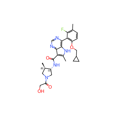 Cc1ccc(OCC2CC2)c(-c2ncnc3c(C(=O)N[C@@H]4CN(C(=O)CO)C[C@H]4C)c(C)[nH]c23)c1F